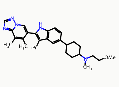 COCCN(C)C1CCC(c2ccc3[nH]c(-c4cn5ncnc5c(C)c4C)c(C(C)C)c3c2)CC1